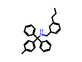 CCCC1=CC=CC(CNC(c2ccccc2)(c2ccccc2)c2ccc(C)cc2)C1